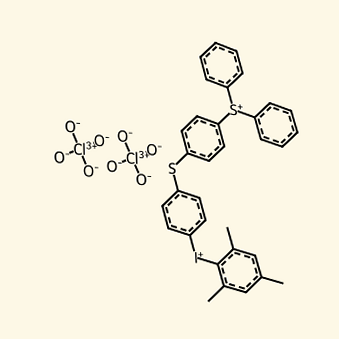 Cc1cc(C)c([I+]c2ccc(Sc3ccc([S+](c4ccccc4)c4ccccc4)cc3)cc2)c(C)c1.[O-][Cl+3]([O-])([O-])[O-].[O-][Cl+3]([O-])([O-])[O-]